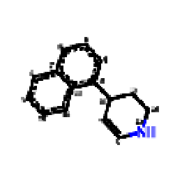 C1=CC(c2cccc3ccccc23)CCN1